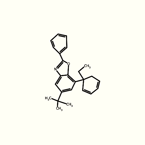 CCC1(c2cc(C(C)(C)C)cc3nc(-c4ccccc4)oc23)C=CC=CC1